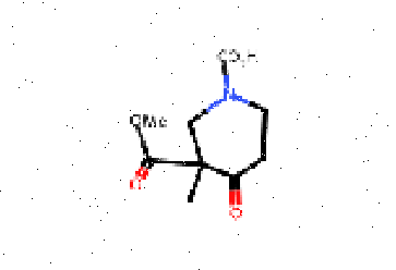 COC(=O)C1(C)CN(C(=O)O)CCC1=O